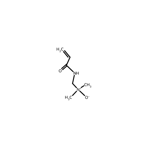 C=CC(=O)NC[N+](C)(C)[O-]